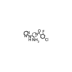 NC1=C(Nc2ncccn2)CCN(C(=O)c2ccc(Cl)cc2F)C1